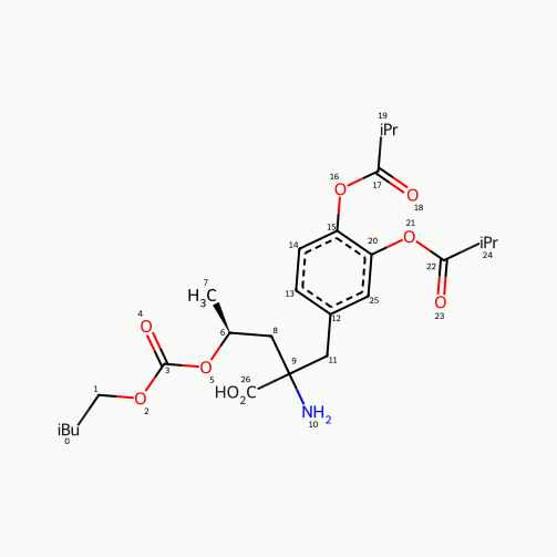 CCC(C)COC(=O)O[C@@H](C)CC(N)(Cc1ccc(OC(=O)C(C)C)c(OC(=O)C(C)C)c1)C(=O)O